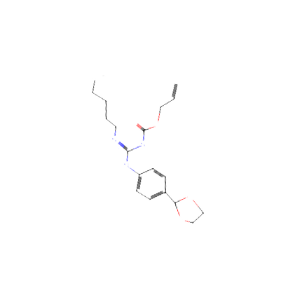 C=CCOC(=O)N/C(=N\CCCCCCCCCCCCCC)Nc1ccc(C2OCCO2)cc1